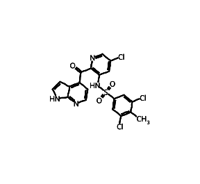 Cc1c(Cl)cc(S(=O)(=O)Nc2cc(Cl)cnc2C(=O)c2ccnc3[nH]ccc23)cc1Cl